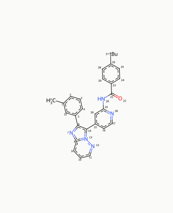 Cc1cccc(-c2nc3cccnn3c2-c2ccnc(NC(=O)c3ccc(C(C)(C)C)cc3)c2)c1